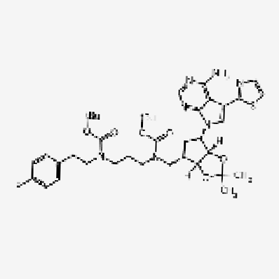 CC(C)(C)OC(=O)N(CCCN(C[C@H]1C[C@@H](n2cc(-c3nccs3)c3c(N)ncnc32)[C@@H]2OC(C)(C)O[C@H]12)C(=O)OC(C)(C)C)CCc1ccc(F)cc1